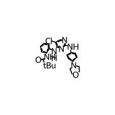 CC(C)(C)C(=O)Nc1ccccc1Nc1nc(Nc2ccc(N3CCOCC3)cc2)ncc1Cl